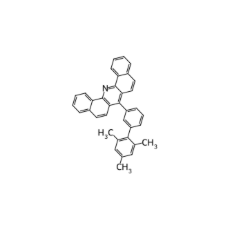 Cc1cc(C)c(-c2cccc(-c3c4ccc5ccccc5c4nc4c3ccc3ccccc34)c2)c(C)c1